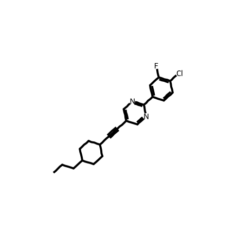 CCCC1CCC(C#Cc2cnc(-c3ccc(Cl)c(F)c3)nc2)CC1